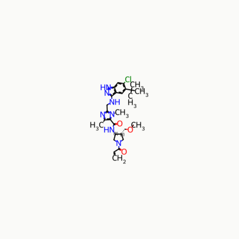 C=CC(=O)N1C[C@@H](COC)[C@@H](NC(=O)c2c(C)nc(CNc3n[nH]c4cc(Cl)c(C(C)(C)C)cc34)n2C)C1